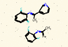 CC(=Nc1c(F)cccc1F)c1cccnc1.C[C]([Fe])=Nc1c(F)cccc1F